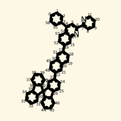 c1ccc(-c2cc(-c3ccccn3)nc3cc(-c4ccc5cc(-c6ccc7c(c6)C6(c8ccccc8-c8ccccc86)c6ccccc6-7)ccc5c4)ccc23)cc1